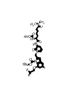 COC(=O)NC(CC/C=C/C(=O)N(C)C)C(=O)Nc1cccn(Cc2cc3cc(F)cc(OCC(F)F)c3n2C(=O)OC(C)(C)C)c1=O